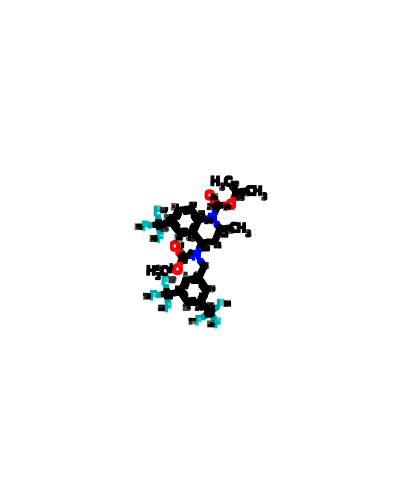 COC(=O)N(Cc1cc(C(F)(F)F)cc(C(F)(F)F)c1)C1CC(C)N(C(=O)OC(C)C)c2ccc(C(F)(F)F)cc21